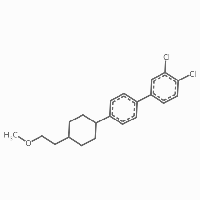 COCCC1CCC(c2ccc(-c3ccc(Cl)c(Cl)c3)cc2)CC1